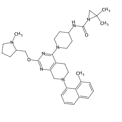 Cc1cccc2cccc(N3CCc4c(nc(OCC5CCCN5C)nc4N4CCC(NC(=O)N5CC5(C)C)CC4)C3)c12